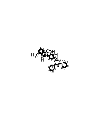 Cc1cccc(C(=O)Nc2ccc(Nc3nc(N4CCCCC4)nc(N4CCCCC4)n3)cc2O)c1O